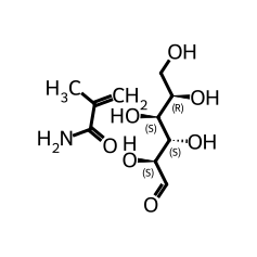 C=C(C)C(N)=O.O=C[C@@H](O)[C@@H](O)[C@@H](O)[C@H](O)CO